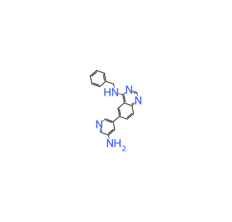 Nc1cncc(-c2ccc3ncnc(NCc4ccccc4)c3c2)c1